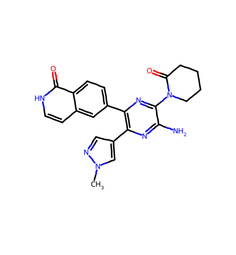 Cn1cc(-c2nc(N)c(N3CCCCC3=O)nc2-c2ccc3c(=O)[nH]ccc3c2)cn1